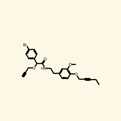 C#CCOC(C(=O)NCCc1ccc(OCC#CCC)c(OC)c1)c1ccc(Br)cc1